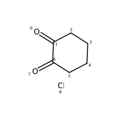 O=C1CCCCC1=O.[C]